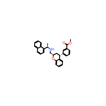 COC(=O)c1cccc([C@H]2C[C@H](CN[C@H](C)c3cccc4ccccc34)Oc3ccccc32)c1